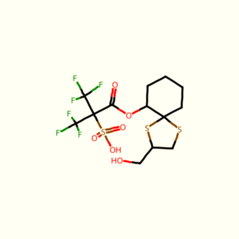 O=C(OC1CCCCC12SCC(CO)S2)C(C(F)(F)F)(C(F)(F)F)S(=O)(=O)O